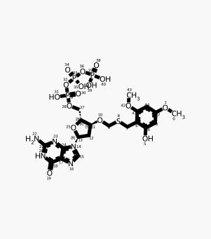 COc1cc(O)c(CSCO[C@H]2C[C@H](n3cnc4c(=O)[nH]c(N)nc43)O[C@@H]2COP(=O)(O)OP(=O)(O)OP(=O)(O)O)c(OC)c1